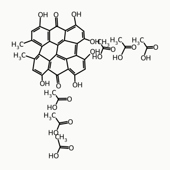 CC(=O)O.CC(=O)O.CC(=O)O.CC(=O)O.CC(=O)O.CC(=O)O.Cc1cc(O)c2c(=O)c3c(O)cc(O)c4c5c(O)cc(O)c6c(=O)c7c(O)cc(C)c8c1c2c(c34)c(c78)c65